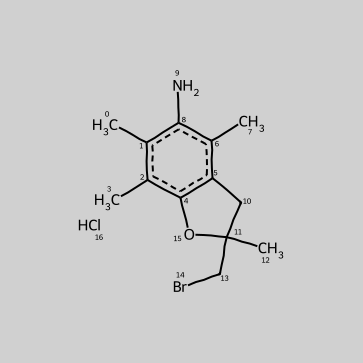 Cc1c(C)c2c(c(C)c1N)CC(C)(CBr)O2.Cl